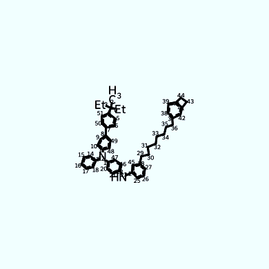 CCC(C)(CC)c1ccc(-c2ccc(N(c3ccccc3)c3ccc(Nc4cccc(CCCCCCCCc5ccc6c(c5)CC6)c4)cc3)cc2)cc1